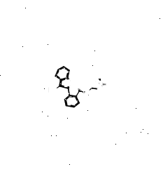 CN(C)CCNC(=O)c1ccccc1-c1sc2ccccc2c1Br